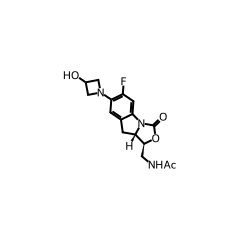 CC(=O)NC[C@@H]1OC(=O)N2c3cc(F)c(N4CC(O)C4)cc3C[C@@H]12